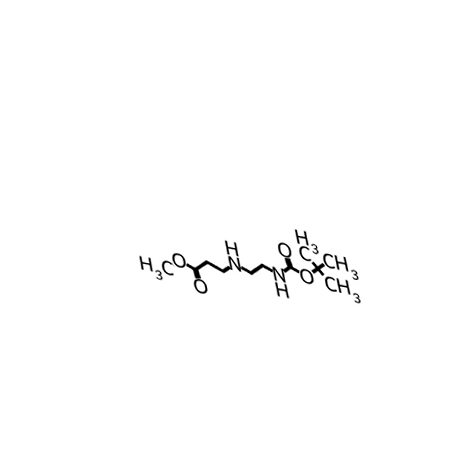 COC(=O)CCNCCNC(=O)OC(C)(C)C